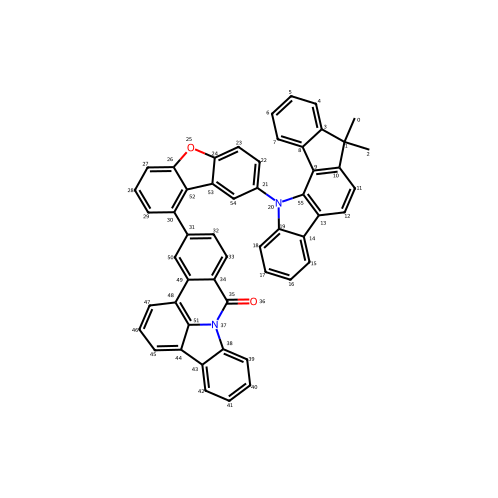 CC1(C)c2ccccc2-c2c1ccc1c3ccccc3n(-c3ccc4oc5cccc(-c6ccc7c(=O)n8c9ccccc9c9cccc(c7c6)c98)c5c4c3)c21